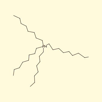 CCCCCCCCC[PH](CCCCCCCC)(CCCCCCCC)CCCCCCCC